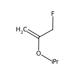 C=C(CF)OC(C)C